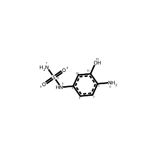 Nc1ccc(NS(N)(=O)=O)cc1O